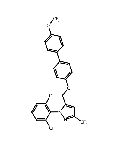 FC(F)(F)Oc1ccc(-c2ccc(OCc3cc(C(F)(F)F)nn3-c3c(Cl)cccc3Cl)cc2)cc1